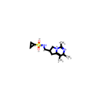 CC1=NC(C)C(C)=C2CC(CNS(=O)(=O)C3CC3)CN12